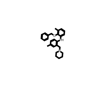 Cc1ccc(Pc2cccc(C)c2OCc2ccccc2)c(CN2CCCCC2)c1